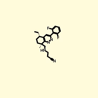 CC[C@H]1CC[C@](C)(CNCCC#N)c2nnc(-c3c(F)cccc3F)cc21